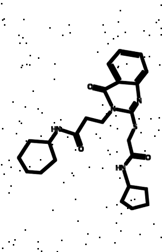 O=C(CCn1c(SCC(=O)NC2CCCC2)nc2ccccc2c1=O)NC1CCCCC1